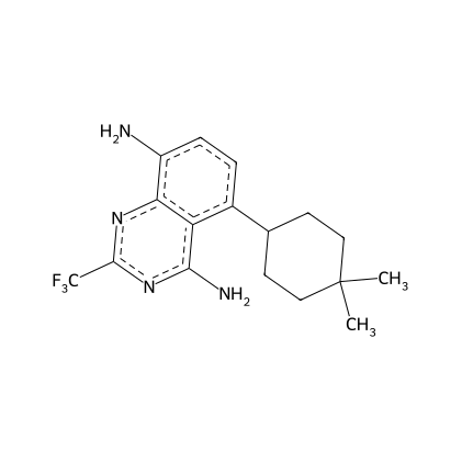 CC1(C)CCC(c2ccc(N)c3nc(C(F)(F)F)nc(N)c23)CC1